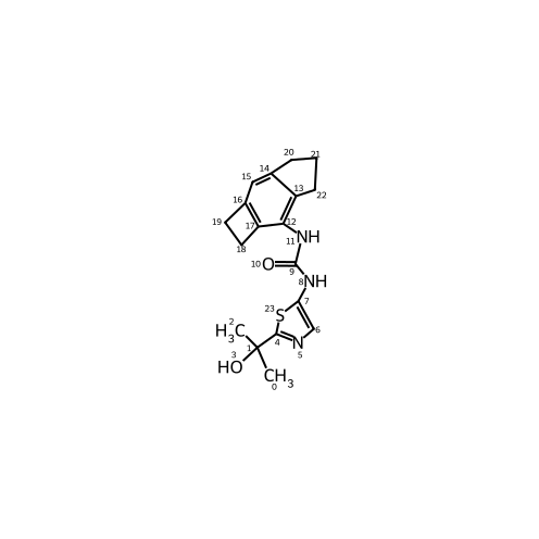 CC(C)(O)c1ncc(NC(=O)Nc2c3c(cc4c2CC4)CCC3)s1